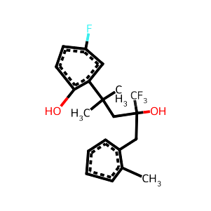 Cc1ccccc1CC(O)(CC(C)(C)c1cc(F)ccc1O)C(F)(F)F